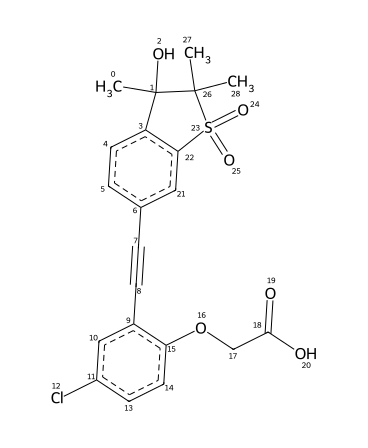 CC1(O)c2ccc(C#Cc3cc(Cl)ccc3OCC(=O)O)cc2S(=O)(=O)C1(C)C